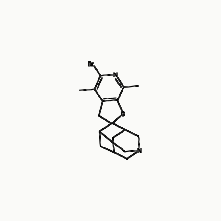 Cc1nc(Br)c(C)c2c1OC1(C2)C2CC3CC1CN(C3)C2